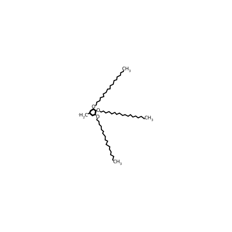 [CH2]c1cc(OCCCCCCCCCCCCCCCCCC)c(OCCCCCCCCCCCCCCCCCC)c(OCCCCCCCCCCCCCCCCCC)c1